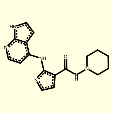 O=C(NN1CCCCC1)c1ccsc1Nc1ccnc2[nH]ccc12